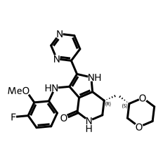 COc1c(F)cccc1Nc1c(-c2ccncn2)[nH]c2c1C(=O)NC[C@H]2C[C@H]1COCCO1